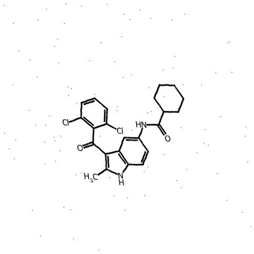 Cc1[nH]c2ccc(NC(=O)C3CCCCC3)cc2c1C(=O)c1c(Cl)cccc1Cl